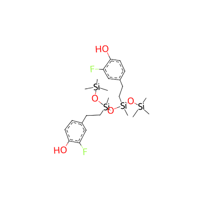 C[Si](C)(C)O[Si](C)(CCc1ccc(O)c(F)c1)O[Si](C)(CCc1ccc(O)c(F)c1)O[Si](C)(C)C